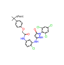 CCCCCC(C)(C)c1ccc(OCC(=O)Nc2ccc(Cl)c(Nc3cc(=O)n(-c4c(Cl)cc(Cl)cc4Cl)[nH]3)c2)cc1